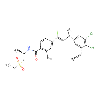 C=Cc1cc(C(/C=C(\F)c2ccc(C(=O)N[C@H](C)CS(=O)(=O)CC(F)(F)F)c(C(F)(F)F)c2)C(F)(F)F)cc(Cl)c1Cl